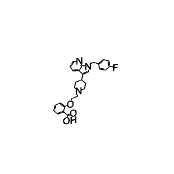 O=C(O)c1ccccc1OCCN1CCC(c2cn(Cc3ccc(F)cc3)c3ncccc23)CC1